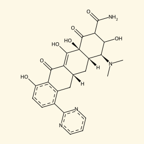 CN(C)[C@@H]1C(O)C(C(N)=O)C(=O)[C@@]2(O)C(O)=C3C(=O)c4c(O)ccc(-c5ncccn5)c4C[C@H]3C[C@@H]12